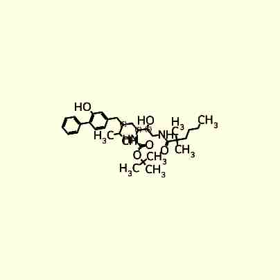 CCCCC(C)(C)C(=O)NC[C@H](O)[C@H](C[C@H](Cc1ccc(-c2ccccc2)c(O)c1)C(C)C)NC(=O)OC(C)(C)C